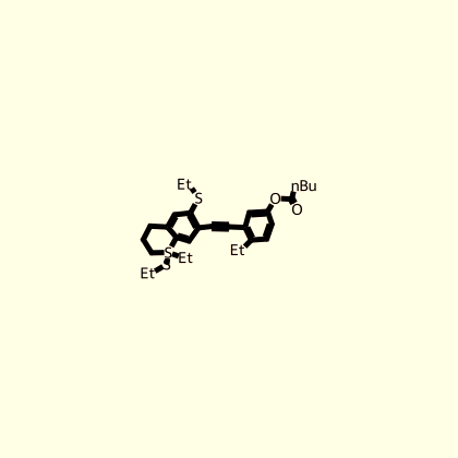 CCCCC(=O)Oc1ccc(CC)c(C#Cc2cc3c(cc2SCC)CCCS3(CC)SCC)c1